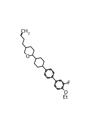 C=CCCC1CCC(C2CCC(c3ccc(-c4ccc(OCC)c(F)c4)cc3)CC2)OC1